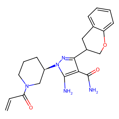 C=CC(=O)N1CCC[C@@H](n2nc(C3COc4ccccc4C3)c(C(N)=O)c2N)C1